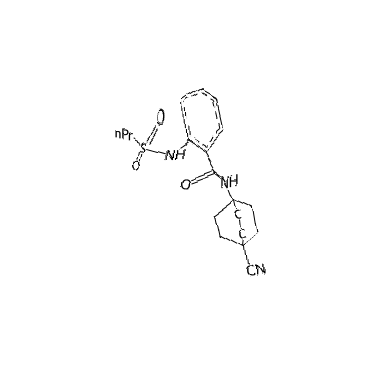 CCCS(=O)(=O)Nc1ccccc1C(=O)NC12CCC(C#N)(CC1)CC2